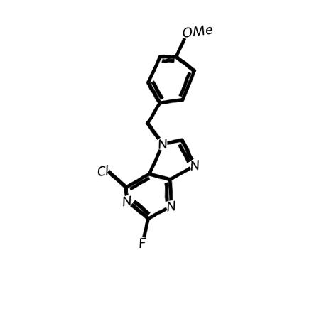 COc1ccc(Cn2cnc3nc(F)nc(Cl)c32)cc1